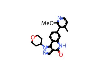 COc1nccc(C)c1-c1ccc2c(c1)[nH]c(=O)c1cnn(C3CCOCC3)c12